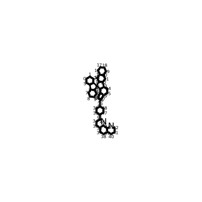 c1ccc2c(c1)-c1ccccc1C21c2cc3ccccc3cc2-c2ccc3cc(-c4ccc(-c5ccc6ccc7cccnc7c6n5)cc4)ccc3c21